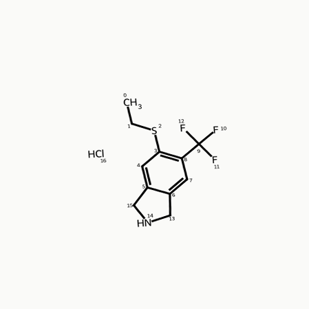 CCSc1cc2c(cc1C(F)(F)F)CNC2.Cl